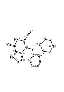 O=C1NC(=C=S)N(Cc2ccccc2[C@H]2CNCCO2)c2cc[nH]c21